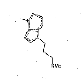 CNCCCn1ccc2c1ccc[n+]2C